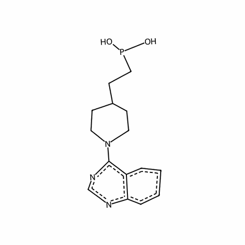 OP(O)CCC1CCN(c2ncnc3ccccc23)CC1